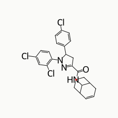 O=C(NC1C2C=CCC1CCC2)C1=NN(c2ccc(Cl)cc2Cl)C(c2ccc(Cl)cc2)C1